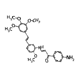 COc1ccc(C=Cc2cc(OC)c(OC)c(OC)c2)cc1NC=CC(=O)c1ccc(N)cc1